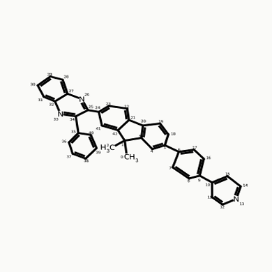 CC1(C)c2cc(-c3ccc(-c4ccncc4)cc3)ccc2-c2ccc(-c3nc4ccccc4nc3-c3ccccc3)cc21